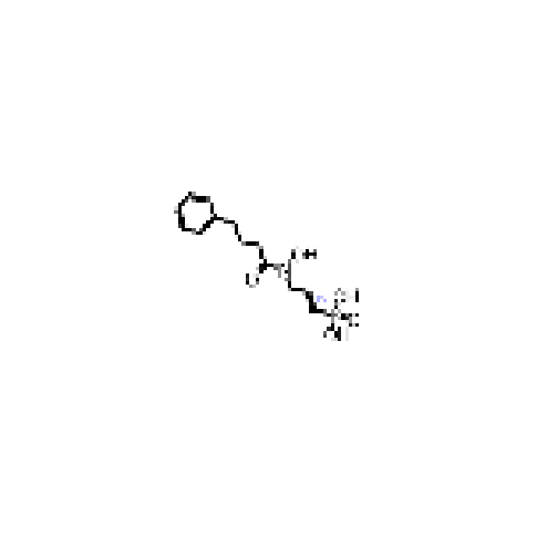 O=C(CCCc1ccccc1)N(O)C/C=C/P(=O)(O)O